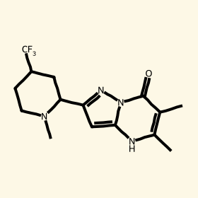 Cc1[nH]c2cc(C3CC(C(F)(F)F)CCN3C)nn2c(=O)c1C